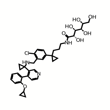 O=C(NCCCC1(c2ccc(Cl)c(CNC3(c4cnccc4-c4ccccc4OC4CC4)CC3)c2)CC1)[C@@H](O)[C@@H](O)[C@H](O)[C@@H](O)CO